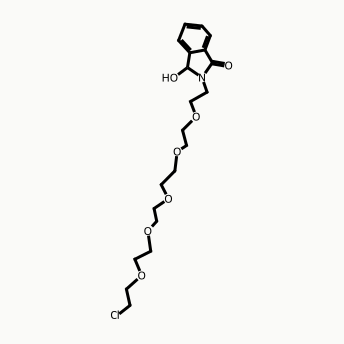 O=C1c2ccccc2C(O)N1CCOCCOCCOCCOCCOCCCl